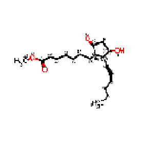 CCCCC#C[C@@H]1[C@H](O)CC(=O)[C@@H]1CCCCCCC(=O)OC